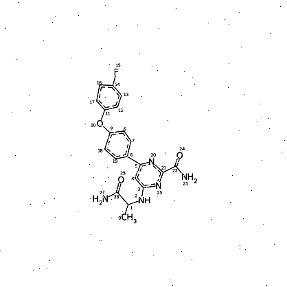 CC(Nc1cc(-c2ccc(Oc3ccc(F)cc3)cc2)nc(C(N)=O)n1)C(N)=O